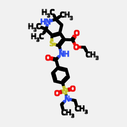 CCOC(=O)c1c(NC(=O)c2ccc(S(=O)(=O)N(CC)CC)cc2)sc2c1CC(C)(C)NC2(C)C